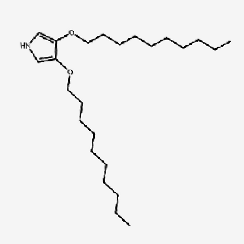 CCCCCCCCCCOc1c[nH]cc1OCCCCCCCCCC